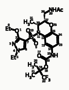 CCOc1nn(CC)cc1S(=O)(=O)N1c2cc(NC(=O)OC(C)(C)C(F)(F)F)ccc2O[C@@H](CNC(C)=O)[C@H]1C